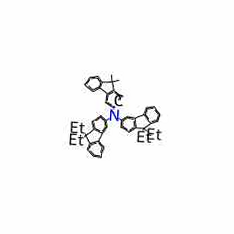 CCC1(CC)c2ccccc2-c2cc(N(c3ccc4c(c3)-c3ccccc3C4(C)C)c3ccc4c(c3)-c3ccccc3C4(CC)CC)ccc21